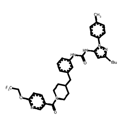 Cc1ccc(-n2nc(C(C)(C)C)cc2NC(=O)Nc2cccc(CC3CCN(C(=O)c4ccc(OCC(F)(F)F)nc4)CC3)c2)cc1